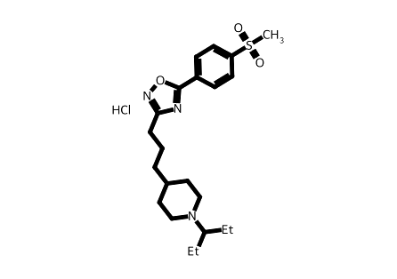 CCC(CC)N1CCC(CCCc2noc(-c3ccc(S(C)(=O)=O)cc3)n2)CC1.Cl